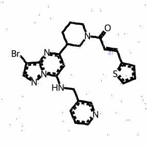 O=C(/C=C/c1cccs1)N1CCCC(c2cc(NCc3cccnc3)n3ncc(Br)c3n2)C1